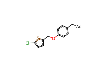 CC(=O)Cc1ccc(OCc2ccc(Cl)s2)cc1